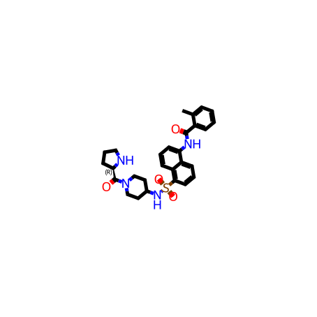 Cc1ccccc1C(=O)Nc1cccc2c(S(=O)(=O)NC3CCN(C(=O)[C@H]4CCCN4)CC3)cccc12